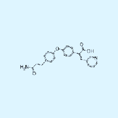 NC(=O)CCc1ccc(Oc2ccc(C(=Cc3cccnc3)C(=O)O)cc2)cc1